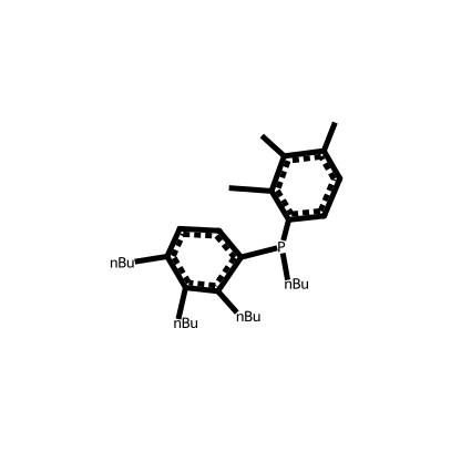 CCCCc1ccc(P(CCCC)c2ccc(C)c(C)c2C)c(CCCC)c1CCCC